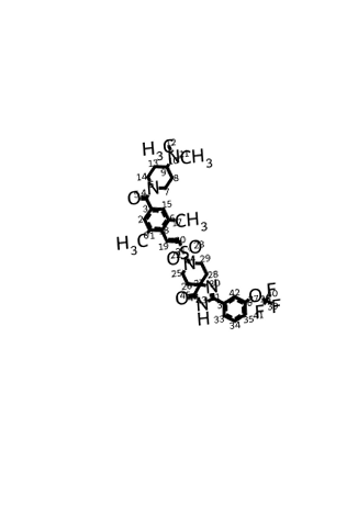 Cc1cc(C(=O)N2CCC(N(C)C)CC2)cc(C)c1/C=C/S(=O)(=O)N1CCC2(CC1)N=C(c1cccc(OC(F)(F)F)c1)NC2=O